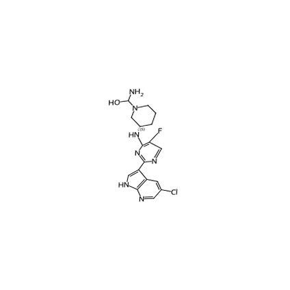 NC(O)N1CCC[C@H](Nc2nc(-c3c[nH]c4ncc(Cl)cc34)ncc2F)C1